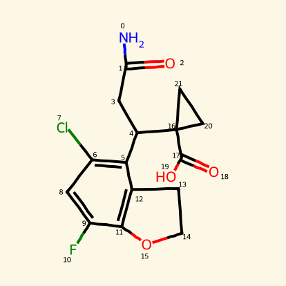 NC(=O)CC(c1c(Cl)cc(F)c2c1CCO2)C1(C(=O)O)CC1